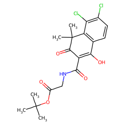 CC(C)(C)OC(=O)CNC(=O)C1=C(O)c2ccc(Cl)c(Cl)c2C(C)(C)C1=O